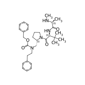 CN[C@@H](C)C(=O)N[C@H](C(=O)N1CCC[C@H]1CN(CCc1ccccc1)C(=O)OCc1ccccc1)C(C)(C)C